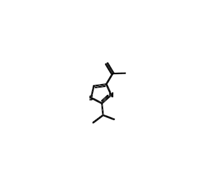 C=C(C)c1csc(C(C)C)n1